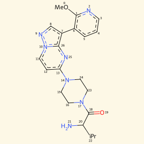 COc1ncccc1-c1cnn2ccc(N3CCN(C(=O)C(N)C(C)C)CC3)nc12